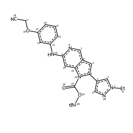 CCn1cc(-c2cc3cnc(Nc4cccc(OCC#N)c4)cc3n2C(=O)OC(C)(C)C)cn1